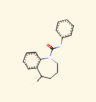 N#CC1CCCN(C(=O)Nc2ccccc2)c2ccccc21